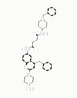 CN1CCN(c2cc(Cc3ccccc3)c3cc(NC(=O)CCC(=O)NC4CCN(Cc5ccccc5)CC4)ccc3n2)CC1